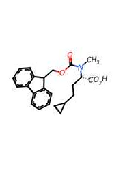 CN(C(=O)OCC1c2ccccc2-c2ccccc21)[C@@H](CCC1CC1)C(=O)O